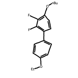 CCCCOc1ccc(-c2ccc(OCC)cc2)c(F)c1F